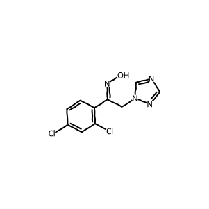 ON=C(Cn1cncn1)c1ccc(Cl)cc1Cl